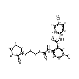 O=C(CCCCN1CCOCC1=O)Nc1ccc(Cl)cc1C(=O)Nc1ccc(Cl)cn1